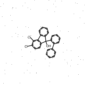 OC1(c2ccccc2-c2ccccc2)c2ccccc2-c2c1ccc(Cl)c2Cl